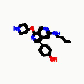 CCCCNc1cc2c(cn1)c(OC1CCNCC1)ncc2[C@H]1CC[C@H](O)CC1